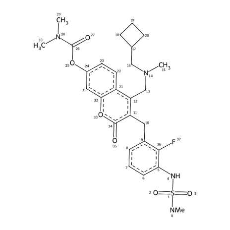 CNS(=O)(=O)Nc1cccc(Cc2c(CN(C)CC3CCC3)c3ccc(OC(=O)N(C)C)cc3oc2=O)c1F